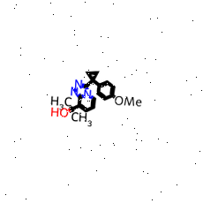 COc1ccc(C2(c3nnc4c(C(C)(C)O)cccn34)CC2)cc1